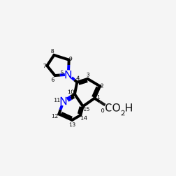 O=C(O)c1ccc(N2CCCC2)c2ncccc12